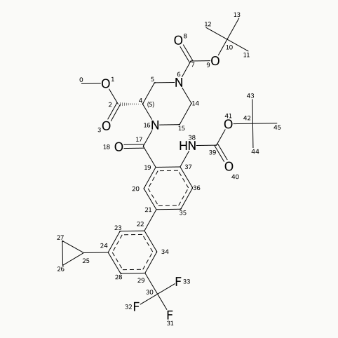 COC(=O)[C@@H]1CN(C(=O)OC(C)(C)C)CCN1C(=O)c1cc(-c2cc(C3CC3)cc(C(F)(F)F)c2)ccc1NC(=O)OC(C)(C)C